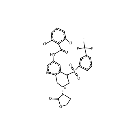 O=C(Nc1cnc2c(c1)N(S(=O)(=O)c1cccc(C(F)(F)F)c1)C[C@H](N1CCOC1=O)C2)c1c(Cl)cccc1Cl